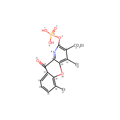 CCOC(=O)c1c(OP(=O)(O)O)nc2c(=O)c3cccc(CC)c3oc2c1CC